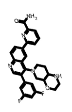 NC(=O)c1cccc(-c2ccc3ncc(-c4cc(F)cc(F)c4)c(N4CCC5NCCOC5C4)c3c2)n1